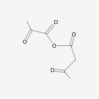 CC(=O)CC(=O)OC(=O)C(C)=O